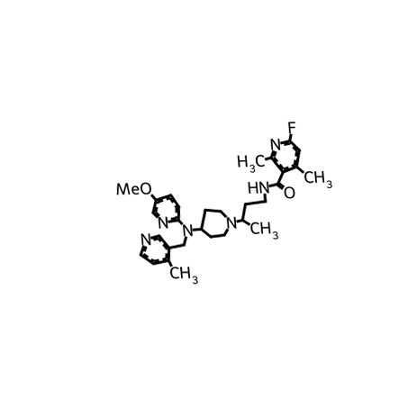 COc1ccc(N(Cc2cnccc2C)C2CCN(C(C)CCNC(=O)c3c(C)cc(F)nc3C)CC2)nc1